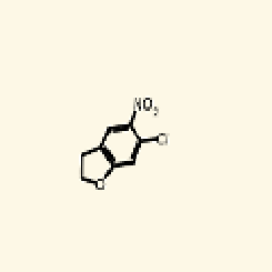 O=[N+]([O-])c1cc2c(cc1Cl)OCC2